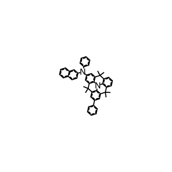 CC1(C)c2cccc3c2N2c4c1cc(-c1ccccc1)cc4C(C)(C)c1cc(N(c4ccccc4)c4ccc5ccccc5c4)cc(c12)C3(C)C